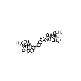 COC(=O)N[C@H](C(=O)C1CCC[C@H]1c1ncc(-c2ccc3cc(-c4ccc5c(c4)CCc4nc([C@@H]6CCCN6C(=O)OC(C)(C)C)[nH]c4-5)ccc3c2)[nH]1)C(C)C